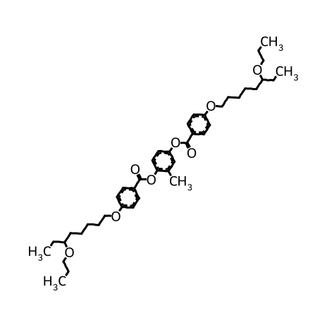 CCCOC(CC)CCCCCOc1ccc(C(=O)Oc2ccc(OC(=O)c3ccc(OCCCCCC(CC)OCCC)cc3)c(C)c2)cc1